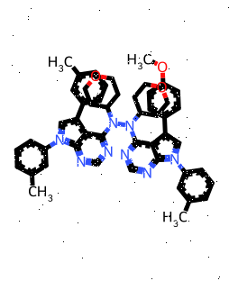 COc1ccc(-c2cn(-c3cccc(C)c3)c3ncnc(N(C4CCOCC4)N(c4ncnc5c4c(-c4cccc(C)c4)cn5-c4cccc(C)c4)C4CCOCC4)c23)cc1